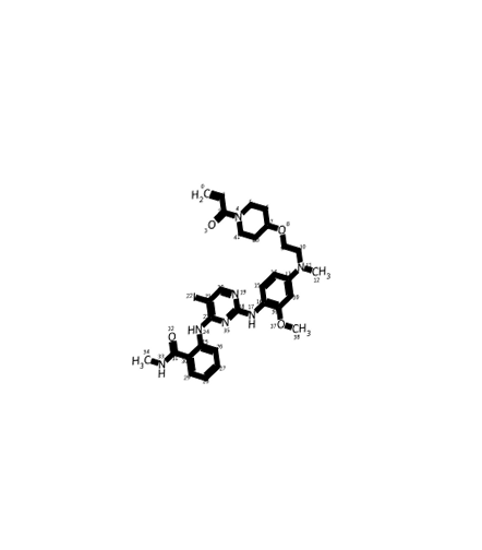 C=CC(=O)N1CCC(OCCN(C)c2ccc(Nc3ncc(I)c(Nc4ccccc4C(=O)NC)n3)c(OC)c2)CC1